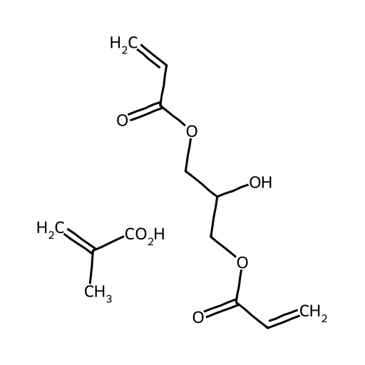 C=C(C)C(=O)O.C=CC(=O)OCC(O)COC(=O)C=C